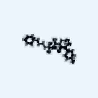 CC(C)CC(C(=O)NS(=O)(=O)CCCCc1ccccc1)C(=O)N(c1ccc(F)cc1)C(C)C